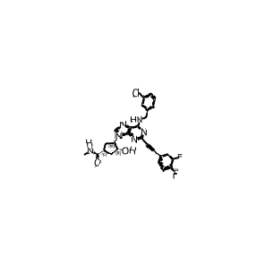 CNC(=O)[C@@H]1C[C@@H](O)[C@H](n2cnc3c(NCc4cccc(Cl)c4)nc(C#Cc4ccc(F)c(F)c4)nc32)C1